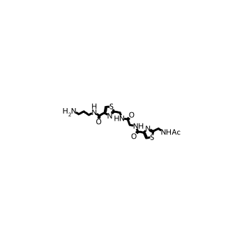 CC(=O)NCc1nc(C(=O)NCC(=O)NCc2nc(C(=O)NCCCN)cs2)cs1